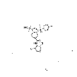 Cc1ccc(S(=O)(=O)n2cc(C(C)(C)O)c3ccc(C(=O)Nc4c(Cl)cncc4Cl)cc32)cc1